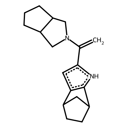 C=C(c1cc2c([nH]1)C1CCC2C1)N1CC2CCCC2C1